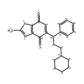 Cc1nc2c(s1)C(=O)C=C(N(CCN1CCCCC1)c1ccccc1)C2=O